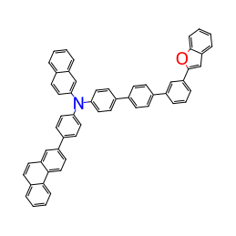 c1cc(-c2ccc(-c3ccc(N(c4ccc(-c5ccc6c(ccc7ccccc76)c5)cc4)c4ccc5ccccc5c4)cc3)cc2)cc(-c2cc3ccccc3o2)c1